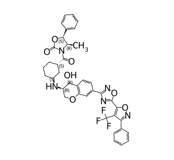 C[C@@H]1[C@H](c2ccccc2)OC(=O)N1C(=O)[C@H]1CCC[C@H](N[C@@H]2COc3cc(-c4noc(-c5onc(-c6ccccc6)c5C(F)(F)F)n4)ccc3[C@H]2O)C1